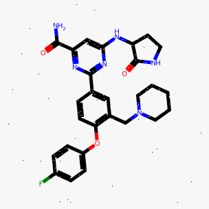 NC(=O)c1cc(NC2CCNC2=O)nc(-c2ccc(Oc3ccc(F)cc3)c(CN3CCCCC3)c2)n1